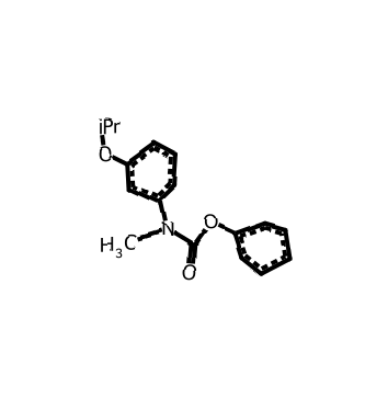 CC(C)Oc1cccc(N(C)C(=O)Oc2ccccc2)c1